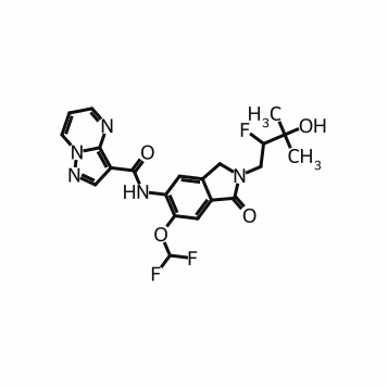 CC(C)(O)C(F)CN1Cc2cc(NC(=O)c3cnn4cccnc34)c(OC(F)F)cc2C1=O